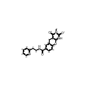 Cn1c(=O)[nH]c2c(c1=O)Cc1cc(C(=O)NCCc3ccccn3)ccc1O2